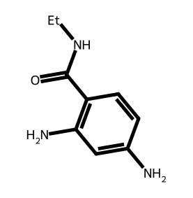 CCNC(=O)c1ccc(N)cc1N